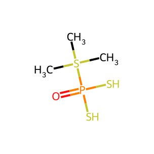 CS(C)(C)P(=O)(S)S